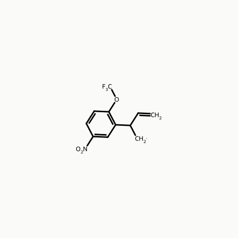 [CH2]C(C=C)c1cc([N+](=O)[O-])ccc1OC(F)(F)F